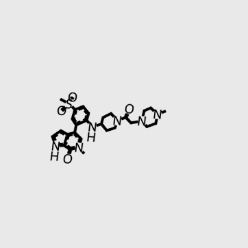 CN1CCN(CC(=O)N2CCC(Nc3ccc(S(C)(=O)=O)cc3-c3cn(C)c(=O)c4[nH]ccc34)CC2)CC1